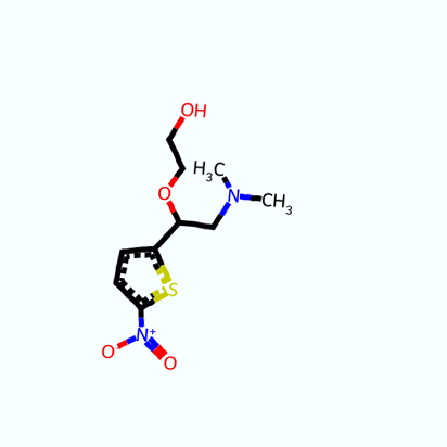 CN(C)CC(OCCO)c1ccc([N+](=O)[O-])s1